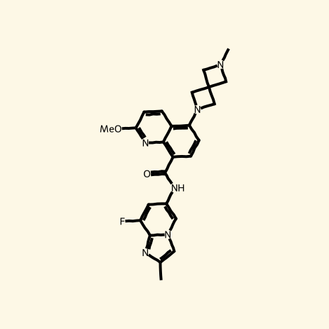 COc1ccc2c(N3CC4(CN(C)C4)C3)ccc(C(=O)Nc3cc(F)c4nc(C)cn4c3)c2n1